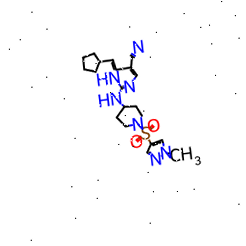 Cn1cc(S(=O)(=O)N2CCC(NC3=NC=C(C#N)C(=CC4CCCC4)N3)CC2)cn1